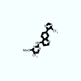 COc1nc(Nc2ccnc3cc(-c4ncsc4C(F)(F)F)ccc23)ncc1C(F)(F)F